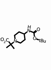 CCOC(=O)C(C)(C)N1CCC(NC(=O)OC(C)(C)C)CC1